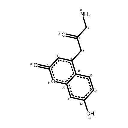 NCC(=O)Cc1cc(=O)oc2cc(O)ccc12